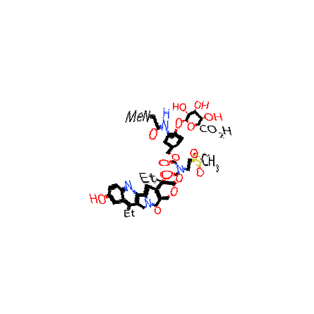 CCc1c2c(nc3ccc(O)cc13)-c1cc3c(c(=O)n1C2)COC(=O)[C@@]3(CC)OCN(CCS(C)(=O)=O)C(=O)OCc1ccc(O[C@@H]2O[C@H](C(=O)O)[C@@H](O)[C@H](O)[C@H]2O)c(NC(=O)CNC)c1